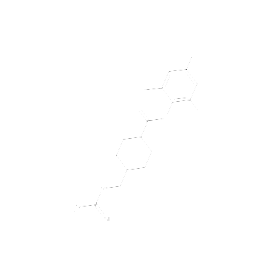 Cl.N=C(N)NCC1CCC(C(=O)Oc2c(Cl)cc(Cl)cc2Cl)CC1